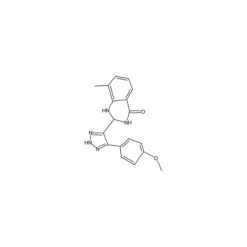 COc1ccc(-c2n[nH]nc2C2NC(=O)c3cccc(C)c3N2)cc1